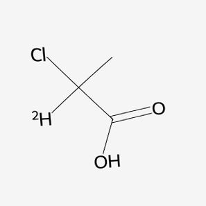 [2H]C(C)(Cl)C(=O)O